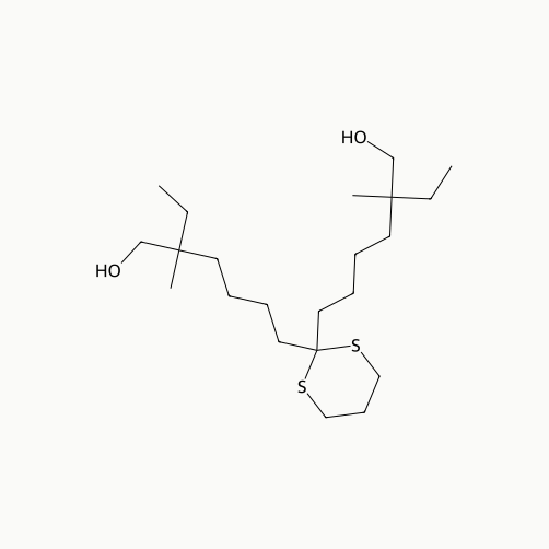 CCC(C)(CO)CCCCC1(CCCCC(C)(CC)CO)SCCCS1